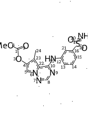 COC(=O)Oc1cn2ncnc(Nc3cccc(S(N)(=O)=O)c3)c2c1C